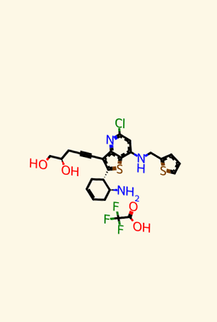 N[C@H]1CC=CC[C@@H]1c1sc2c(NCc3cccs3)cc(Cl)nc2c1C#CC[C@@H](O)CO.O=C(O)C(F)(F)F